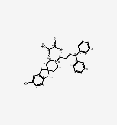 Clc1ccc2c(c1)CC1(CCN(CCCC(c3ccccc3)c3ccccc3)CC1)O2.O=C(O)C(=O)O